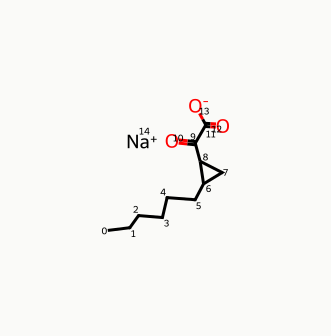 CCCCCCC1CC1C(=O)C(=O)[O-].[Na+]